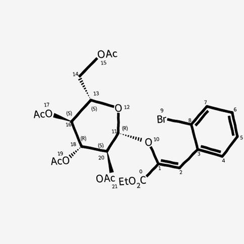 CCOC(=O)C(=Cc1ccccc1Br)O[C@H]1O[C@@H](COC(C)=O)[C@H](OC(C)=O)[C@@H](OC(C)=O)[C@@H]1OC(C)=O